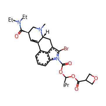 CCN(CC)C(=O)[C@@H]1C=C2c3cccc4c3c(c(Br)n4C(=O)OC(OC(=O)C3COC3)C(C)C)C[C@H]2N(C)C1